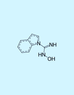 N=C(NO)n1ccc2ccccc21